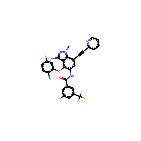 Cn1nc(N)c2c(Oc3cc(F)ccc3Cl)c(NC(=O)c3cc(F)cc(C(F)(F)F)c3)cc(C#Cc3ccccn3)c21